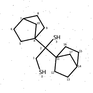 SCC(S)(C12CCC(CC1)C2)C12CCC(CC1)C2